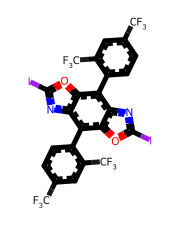 FC(F)(F)c1ccc(-c2c3nc(I)oc3c(-c3ccc(C(F)(F)F)cc3C(F)(F)F)c3nc(I)oc23)c(C(F)(F)F)c1